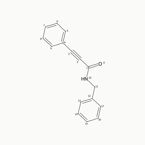 O=C(C#Cc1ccccc1)NCc1ccccc1